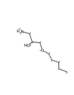 [CH2]CCCCOCC(O)CN